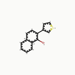 Brc1c(-c2ccsc2)ccc2ccccc12